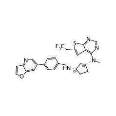 CN(c1ncnc2sc(CC(F)(F)F)cc12)[C@@H]1CC[C@H](NCc2ccc(-c3cnc4ccoc4c3)cc2)C1